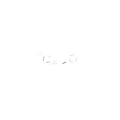 Cc1cc(C)c(C#CC/N=C/c2ccc(Cl)cc2)cc1C